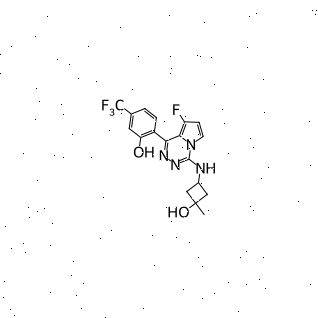 CC1(O)CC(Nc2nnc(-c3ccc(C(F)(F)F)cc3O)c3c(F)ccn23)C1